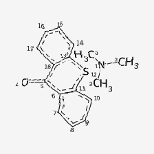 CN(C)C.O=c1c2ccccc2sc2ccccc12